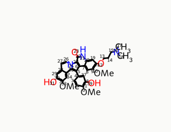 COc1ccc(-c2c3c4cc(OC)c(OCCCN(C)C)cc4[nH]c(=O)c3n3ccc4cc(O)c(OC)cc4c23)cc1O